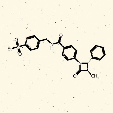 CCS(=O)(=O)c1ccc(CNC(=O)c2ccc(N3C(=O)[C@H](C)[C@H]3c3ccccc3)cc2)cc1